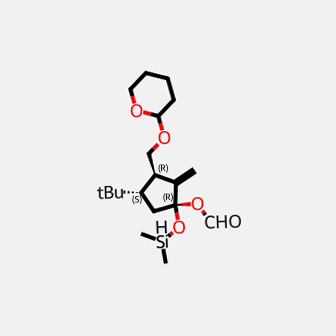 C=C1[C@H](COC2CCCCO2)[C@@H](C(C)(C)C)C[C@@]1(OC=O)O[SiH](C)C